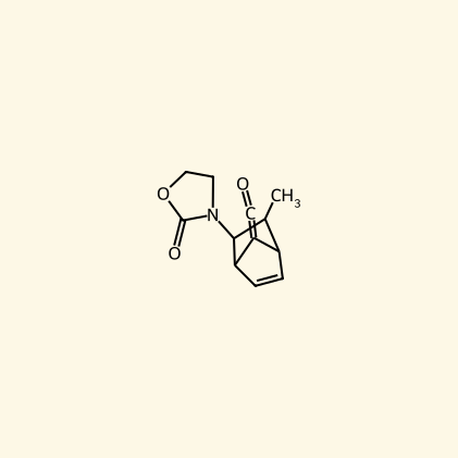 CC1C2C=CC(C2=C=O)C1N1CCOC1=O